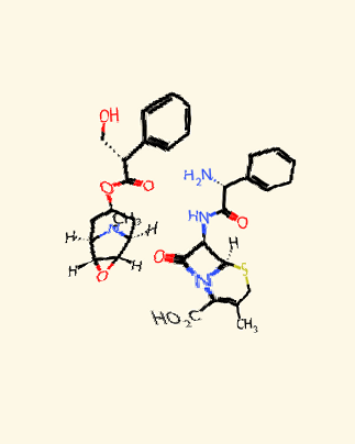 CC1=C(C(=O)O)N2C(=O)[C@@H](NC(=O)[C@H](N)C3=CCC=CC3)[C@H]2SC1.CN1[C@@H]2C[C@@H](OC(=O)[C@H](CO)c3ccccc3)C[C@H]1[C@@H]1O[C@@H]12